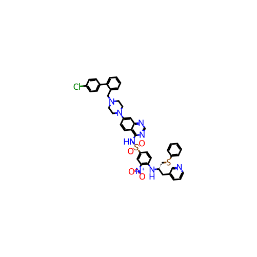 O=[N+]([O-])c1cc(S(=O)(=O)Nc2ncnc3cc(N4CCN(Cc5ccccc5-c5ccc(Cl)cc5)CC4)ccc23)ccc1N[C@H](CSc1ccccc1)Cc1cccnc1